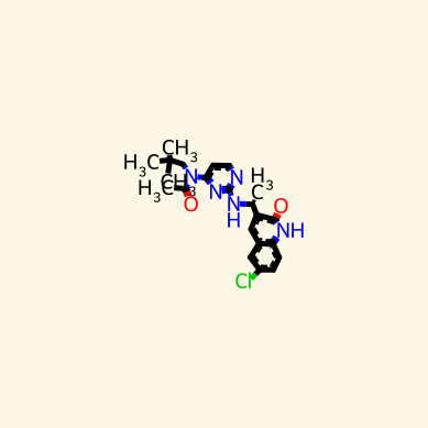 CC(=O)N(CC(C)(C)C)c1ccnc(N[C@@H](C)c2cc3cc(Cl)ccc3[nH]c2=O)n1